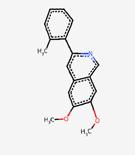 COc1cc2cnc(-c3ccccc3C)cc2cc1OC